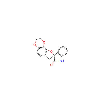 O=C1Nc2ccccc2C12Cc1ccc3c(c1O2)OCCO3